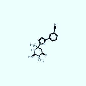 CN1C(=N)N[C@](C)(c2ccc(-c3cccc(C#N)c3)s2)CC1=O